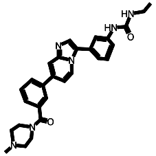 CCNC(=O)Nc1cccc(-c2cnc3cc(-c4cccc(C(=O)N5CCN(C)CC5)c4)ccn23)c1